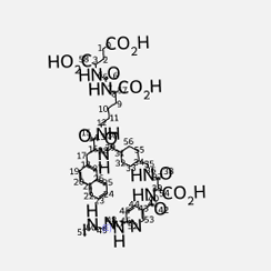 O=C(O)CCC(NC(=O)NC(CCCCNC(=O)C(Cc1ccc2ccccc2c1)NC(=O)C1CCC(CNC(=O)C(NC(=O)c2ccc(N/N=C/NI)nc2)C(=O)O)CC1)C(=O)O)C(=O)O